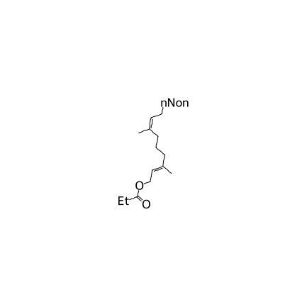 CCCCCCCCCCC=C(C)CCCC(C)=CCOC(=O)CC